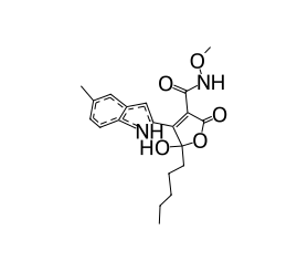 CCCCCC1(O)OC(=O)C(C(=O)NOC)=C1c1cc2cc(C)ccc2[nH]1